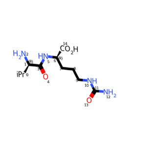 CC(C)[C@@H](N)C(=O)N[C@H](CCCNC(N)=O)C(=O)O